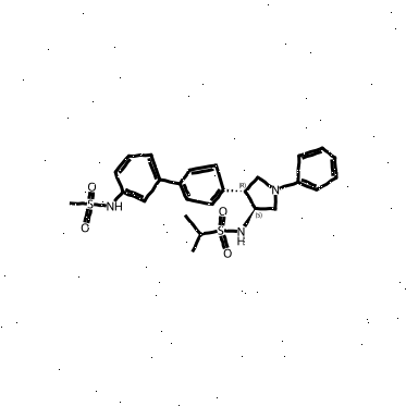 CC(C)S(=O)(=O)N[C@@H]1CN(c2ccccc2)C[C@H]1c1ccc(-c2cccc(NS(C)(=O)=O)c2)cc1